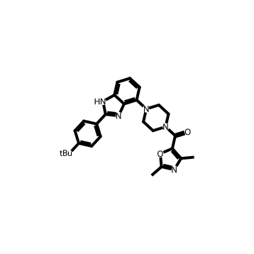 Cc1nc(C)c(C(=O)N2CCN(c3cccc4[nH]c(-c5ccc(C(C)(C)C)cc5)nc34)CC2)o1